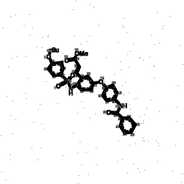 CCCCOc1ccc(S(=O)(=O)Nc2ccc(Oc3ccc(NC(=O)c4ccccc4)cc3)cc2C=CC(=O)OC)cc1